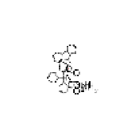 NC(=O)CC(C(=O)O)N(C(=O)OCC1c2ccccc2-c2ccccc21)C(c1ccccc1)(c1ccccc1)c1ccccc1